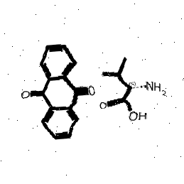 CC(C)[C@H](N)C(=O)O.O=C1c2ccccc2C(=O)c2ccccc21